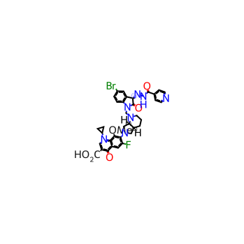 COc1c(N2C[C@@H]3CCCN(CN4C(=O)/C(=N\NC(=O)c5ccncc5)c5cc(Br)ccc54)[C@@H]3C2)c(F)cc2c(=O)c(C(=O)O)cn(C3CC3)c12